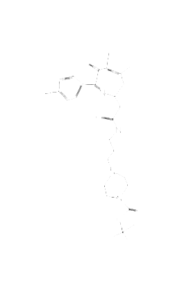 C=C1C(c2ccc(Cl)cc2)=NC(CC(=O)NCCCN2CCN(C(=O)OC(C)(C)C)CC2)CC(C)=C1C